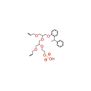 C=CCOCC(COc1ccccc1C(C)c1ccccc1)OCC(COCC=C)OCCOS(=O)(=O)O